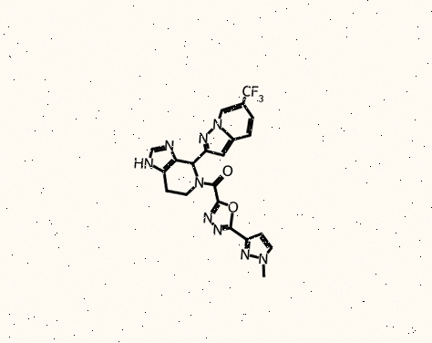 Cn1ccc(-c2nnc(C(=O)N3CCc4[nH]cnc4C3c3cc4ccc(C(F)(F)F)cn4n3)o2)n1